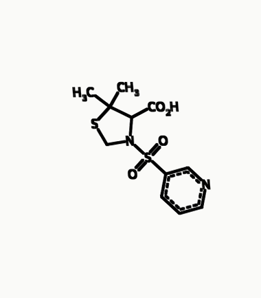 CC1(C)SCN(S(=O)(=O)c2cccnc2)C1C(=O)O